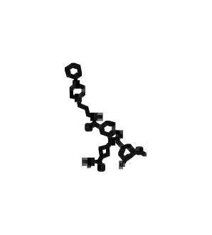 CNC(=O)C1CC(n2c(-c3cc(F)cc(OC)c3)nc3ccc(C(=O)NCCCN4CCN(c5ccccc5)CC4)cc32)C1